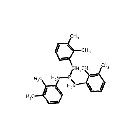 Cc1cccc([SiH2]P([SiH2]c2cccc(C)c2C)[SiH2]c2cccc(C)c2C)c1C